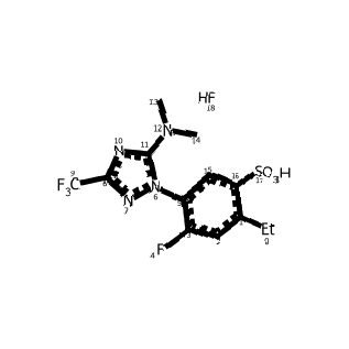 CCc1cc(F)c(-n2nc(C(F)(F)F)nc2N(C)C)cc1S(=O)(=O)O.F